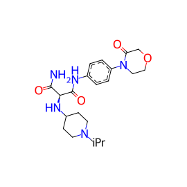 CC(C)N1CCC(N[C@@H](C(N)=O)C(=O)Nc2ccc(N3CCOCC3=O)cc2)CC1